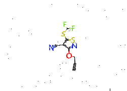 C#CCOc1nsc(SC(F)F)c1C#N